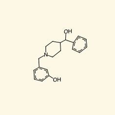 Oc1cccc(CN2CCC(C(O)c3ccccc3)CC2)c1